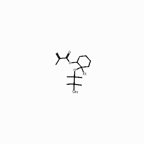 C=C(C)C(=O)OC1CCCCC1(CC)OC(C)(C)C(C)(C)O